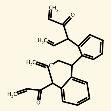 C=CC(=O)C(C=C)c1ccccc1C(CC)c1ccccc1C(C=C)C(=O)C=C